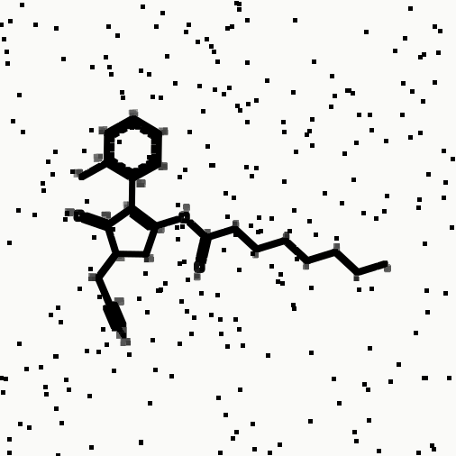 CCCCCCCC(=O)OC1=C(c2ccccc2C)C(=O)C(CC#N)C1